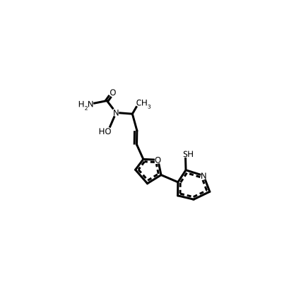 CC(C=Cc1ccc(-c2cccnc2S)o1)N(O)C(N)=O